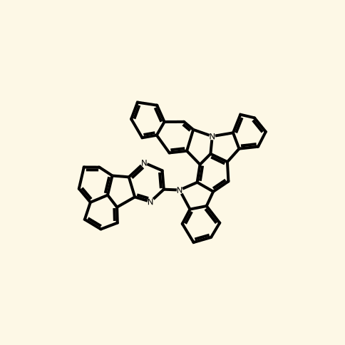 c1ccc2cc3c(cc2c1)c1c2c(cc4c5ccccc5n3c41)c1ccccc1n2-c1cnc2c(n1)-c1cccc3cccc-2c13